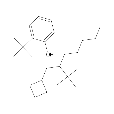 CC(C)(C)c1ccccc1O.CCCCCC(CC1CCC1)C(C)(C)C